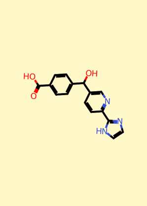 O=C(O)c1ccc(C(O)c2ccc(-c3ncc[nH]3)nc2)cc1